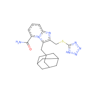 NC(=O)c1cccc2nc(CSc3nnn[nH]3)c(CC34CC5CC(CC(C5)C3)C4)n12